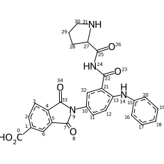 O=C(O)c1ccc2c(c1)C(=O)N(c1ccc(Nc3ccccc3)c(C(=O)NC(=O)C3CCCN3)c1)C2=O